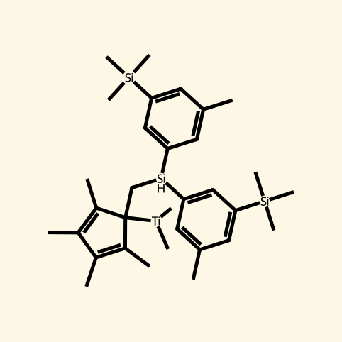 CC1=C(C)[C](C[SiH](c2cc(C)cc([Si](C)(C)C)c2)c2cc(C)cc([Si](C)(C)C)c2)([Ti]([CH3])[CH3])C(C)=C1C